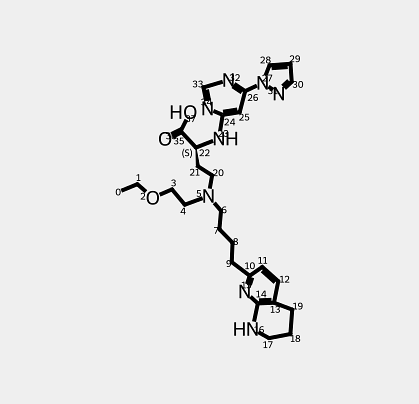 CCOCCN(CCCCc1ccc2c(n1)NCCC2)CC[C@H](Nc1cc(-n2cccn2)ncn1)C(=O)O